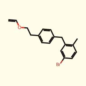 C=COCCc1ccc(Cc2cc(Br)ccc2C)cc1